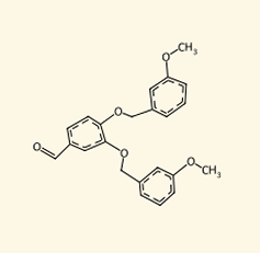 COc1cccc(COc2ccc(C=O)cc2OCc2cccc(OC)c2)c1